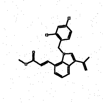 C=C(C)c1cn(Cc2ccc(Cl)cc2Cl)c2c(C=CC(=O)OC)cccc12